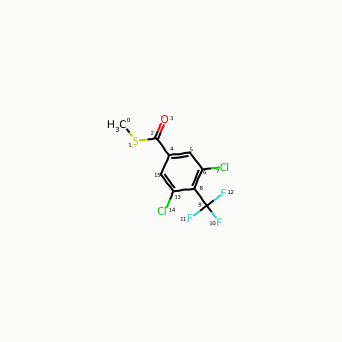 CSC(=O)c1cc(Cl)c(C(F)(F)F)c(Cl)c1